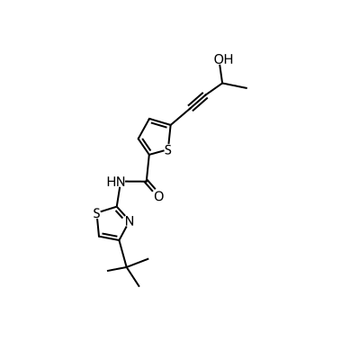 CC(O)C#Cc1ccc(C(=O)Nc2nc(C(C)(C)C)cs2)s1